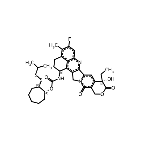 CC[C@@]1(O)C(=O)OCc2c1cc1n(c2=O)Cc2c-1nc1cc(F)c(C)c3c1c2[C@@H](NC(=O)O[C@@H]1CCCCC[C@H]1SSC(C)C)CC3